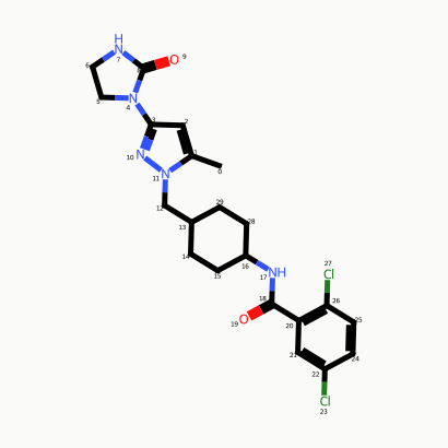 Cc1cc(N2CCNC2=O)nn1CC1CCC(NC(=O)c2cc(Cl)ccc2Cl)CC1